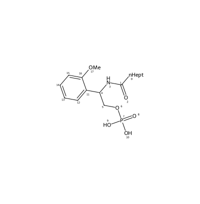 CCCCCCCC(=O)NC(COP(=O)(O)O)c1ccccc1OC